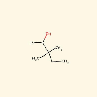 CCC(C)(C)[CH](O)[Pr]